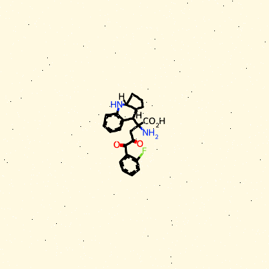 NC(CC(=O)C(=O)c1ccccc1F)(C(=O)O)C1c2ccccc2N[C@@H]2CCC[C@H]12